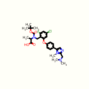 CC(C(=O)O)N(Cc1c(F)cc(Cl)cc1Oc1ccc(-c2cnc(CN(C)C)n2C)cc1)C(=O)OC(C)(C)C